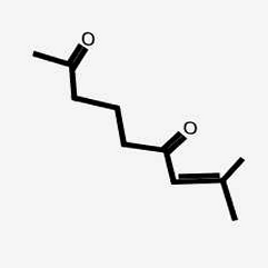 CC(=O)CCCC(=O)C=C(C)C